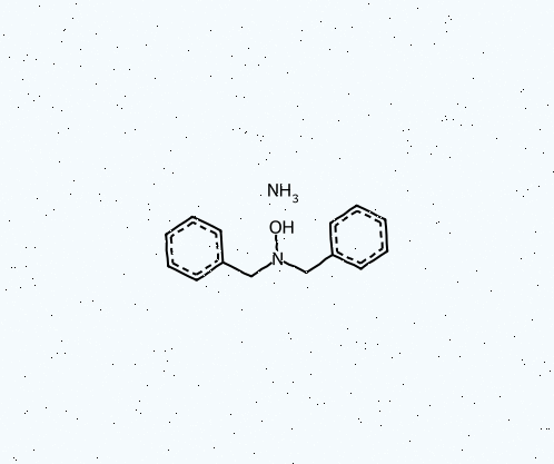 N.ON(Cc1ccccc1)Cc1ccccc1